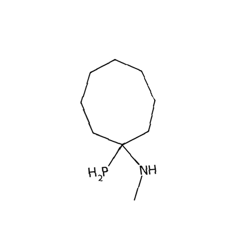 CNC1(P)CCCCCCC1